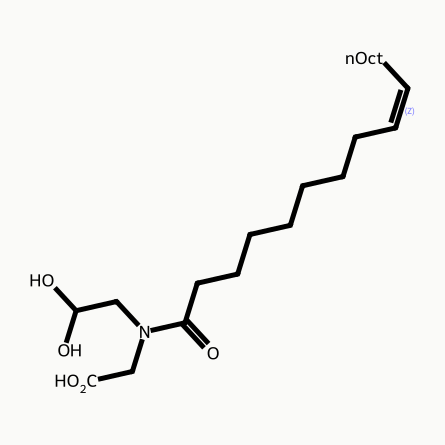 CCCCCCCC/C=C\CCCCCCCC(=O)N(CC(=O)O)CC(O)O